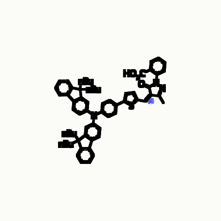 CCCCC1(CCCC)c2ccccc2-c2ccc(N(c3ccc(-c4ccc(/C=C5\C(=O)N(c6ccccc6C(=O)O)N=C5C)s4)cc3)c3ccc4c(c3)C(CCCC)(CCCC)c3ccccc3-4)cc21